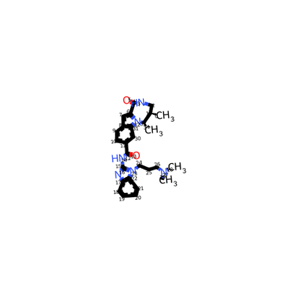 C[C@@H]1CNC(=O)c2cc3ccc(C(=O)Nc4nc5ccccc5n4CCCN(C)C)cc3n2[C@@H]1C